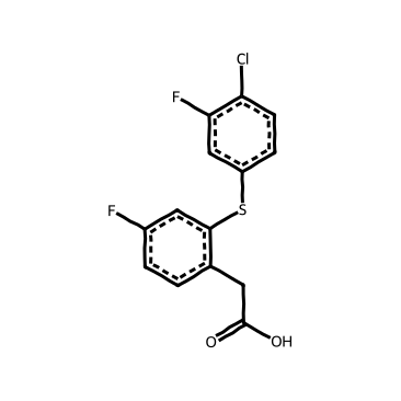 O=C(O)Cc1ccc(F)cc1Sc1ccc(Cl)c(F)c1